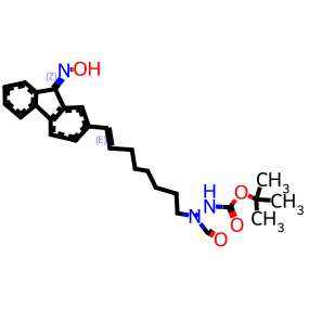 CC(C)(C)OC(=O)NN(C=O)CCCCCC/C=C/c1ccc2c(c1)/C(=N\O)c1ccccc1-2